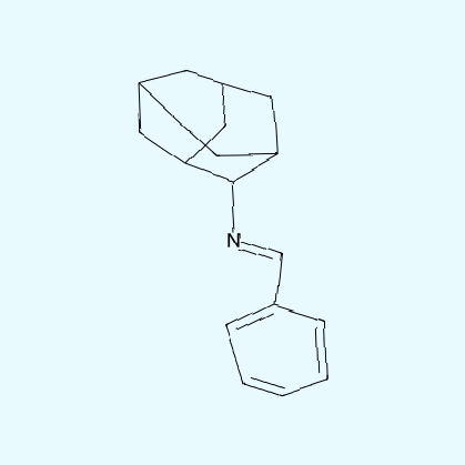 C(=N\C1C2CC3CC(C2)CC1C3)/c1ccccc1